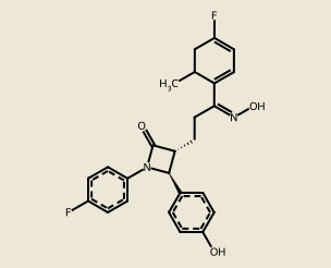 CC1CC(F)=CC=C1/C(CC[C@H]1C(=O)N(c2ccc(F)cc2)[C@@H]1c1ccc(O)cc1)=N\O